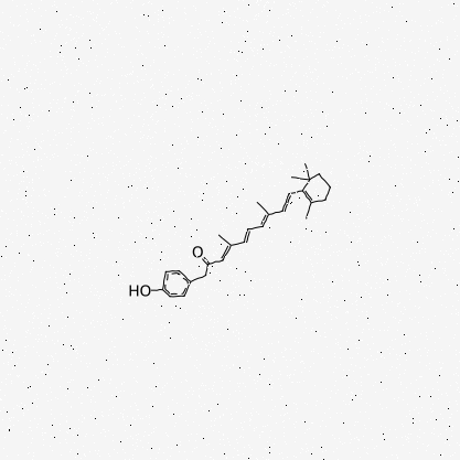 CC1=C(/C=C/C(C)=C/C=C/C(C)=C/C(=O)Cc2ccc(O)cc2)C(C)(C)CCC1